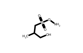 CC(CO)CS(=O)(=O)ON